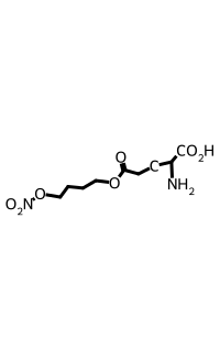 NC(CCC(=O)OCCCCO[N+](=O)[O-])C(=O)O